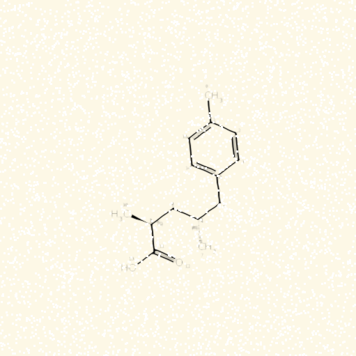 Cc1ccc(C[C@H](C)C[C@H](C)C(=O)O)cc1